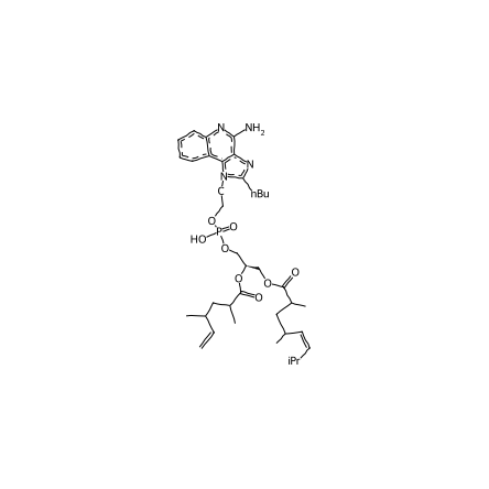 C=CC(C)CC(C)C(=O)O[C@H](COC(=O)C(C)CC(C)/C=C\C(C)C)COP(=O)(O)OCCn1c(CCCC)nc2c(N)nc3ccccc3c21